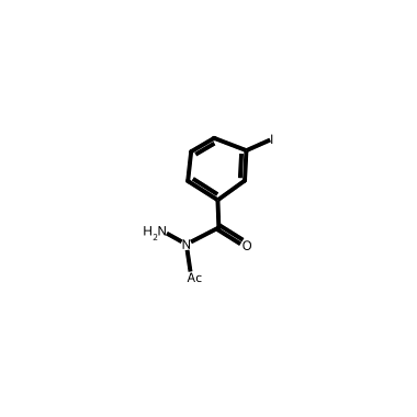 CC(=O)N(N)C(=O)c1cccc(I)c1